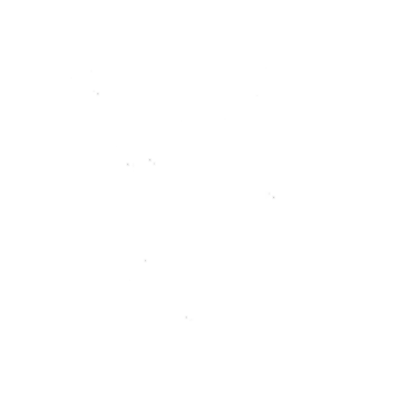 CCCNCCSc1cc(-c2nn(CCCN3CCC(N4CCCC4)CC3)c3c2CN(S(C)(=O)=O)CC3)ccc1C(F)(F)F